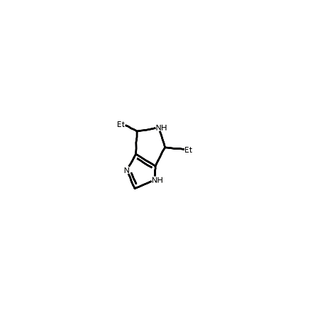 CCC1NC(CC)c2[nH]cnc21